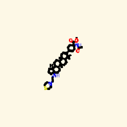 COC(=O)C1(NC(C)=O)CC=C(C2=CCC3(C)C(CCC4(C)C5CCC6(NCCN7CCSCC7)CCC[C@@H]6C5CCC43)C2(C)C)CC1